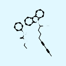 CC#CC#CCCCC(O)n1c2ccccc2c2ccccc21.CCOC(=O)Nc1ccccc1